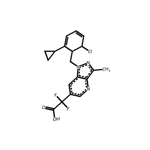 Cc1nn(CC2C(C3CC3)=CC=CC2Cl)c2cc(C(F)(F)C(=O)O)cnc12